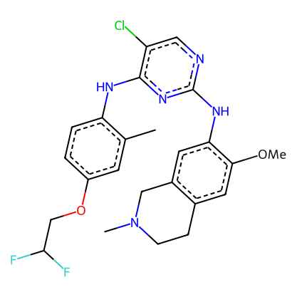 COc1cc2c(cc1Nc1ncc(Cl)c(Nc3ccc(OCC(F)F)cc3C)n1)CN(C)CC2